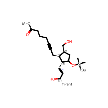 CCCCC[C@H](O)/C=C/[C@H]1C(O[Si](C)(C)C(C)(C)C)C[C@H](CO)[C@@H]1CC#CCCCC(=O)OC